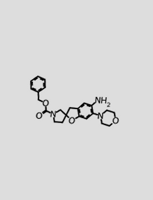 Nc1cc2c(cc1N1CCOCC1)OC1(CCN(C(=O)OCc3ccccc3)C1)C2